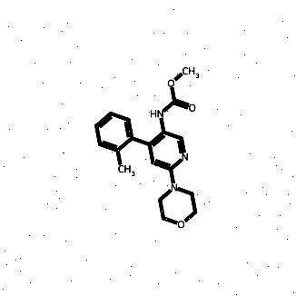 COC(=O)Nc1cnc(N2CCOCC2)cc1-c1ccccc1C